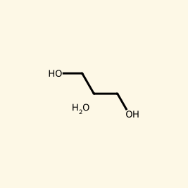 O.OCCCO